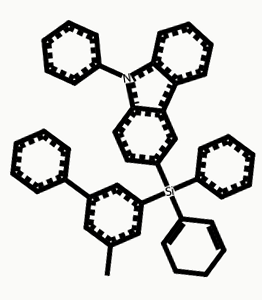 Cc1cc(-c2ccccc2)cc([Si](C2=CCCC=C2)(c2ccccc2)c2ccc3c(c2)c2ccccc2n3-c2ccccc2)c1